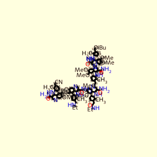 CCNC(=O)Cc1cccc(Nc2c(C(N)=O)cnc3cc(OC)c(OC)cc23)c1C.CCNCc1cccc(Nc2c(C(N)=O)cnc3cc(OC)c(OC)cc23)c1C.COCc1cccc(Nc2c(C(N)=O)cnc3cc(OC)c(OC)cc23)c1C.COc1cc2ncc(C(N)=O)c(Nc3cccc(CC#N)c3C)c2cc1OC.COc1cc2ncc(C(N)=O)c(Nc3cccc(COCC(C)C)c3C)c2cc1OC